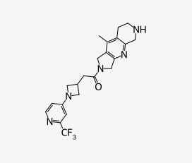 Cc1c2c(nc3c1CN(C(=O)CC1CN(c4ccnc(C(F)(F)F)c4)C1)C3)CNCC2